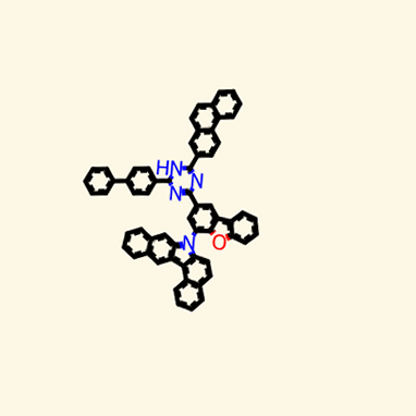 c1ccc(-c2ccc(C3N=C(c4cc(-n5c6cc7ccccc7cc6c6c7ccccc7ccc65)c5oc6ccccc6c5c4)N=C(c4ccc5c(ccc6ccccc65)c4)N3)cc2)cc1